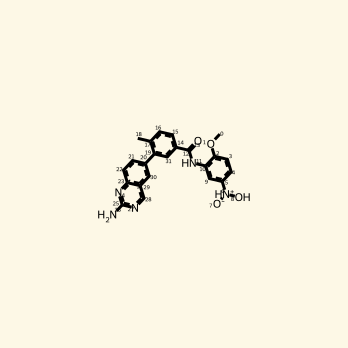 COc1ccc([NH+]([O-])O)cc1NC(=O)c1ccc(C)c(-c2ccc3nc(N)ncc3c2)c1